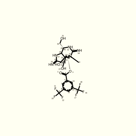 CC1[C@H](OC(=O)c2cc(C(F)(F)F)cc(C(F)(F)F)c2)C(O)(O)[C@]23NC(=N)NC2[C@H](CO)NC(=N)N13